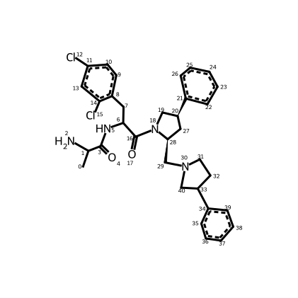 CC(N)C(=O)NC(Cc1ccc(Cl)cc1Cl)C(=O)N1C[C@@H](c2ccccc2)C[C@H]1CN1CCC(c2ccccc2)C1